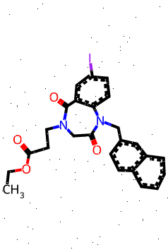 CCOC(=O)CCN1CC(=O)N(Cc2ccc3ccccc3c2)c2ccc(I)cc2C1=O